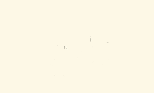 Fc1cccc(C=Cc2nccc3ccccc23)c1F